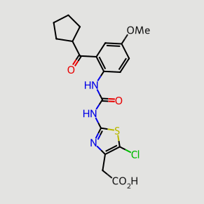 COc1ccc(NC(=O)Nc2nc(CC(=O)O)c(Cl)s2)c(C(=O)C2CCCC2)c1